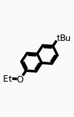 CCOc1ccc2cc(C(C)(C)C)ccc2c1